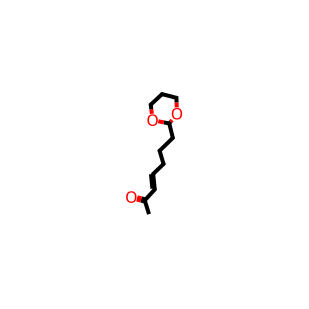 CC(=O)C=CCCCC1OCCCO1